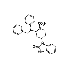 O=C(O)N1CCC(n2c(=O)[nH]c3ccccc32)CC1N(Cc1ccccc1)c1ccccc1